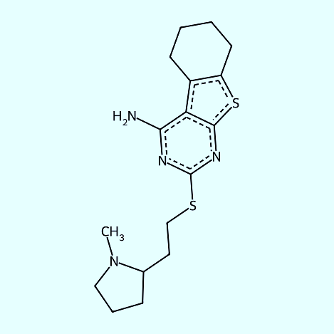 CN1CCCC1CCSc1nc(N)c2c3c(sc2n1)CCCC3